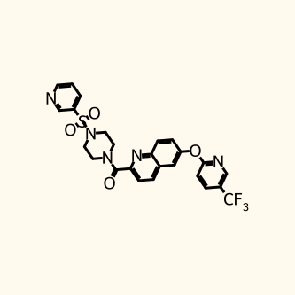 O=C(c1ccc2cc(Oc3ccc(C(F)(F)F)cn3)ccc2n1)N1CCN(S(=O)(=O)c2cccnc2)CC1